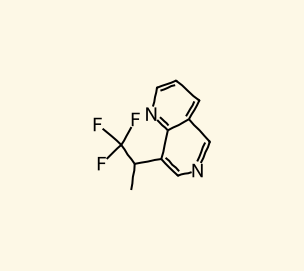 CC(c1cncc2cccnc12)C(F)(F)F